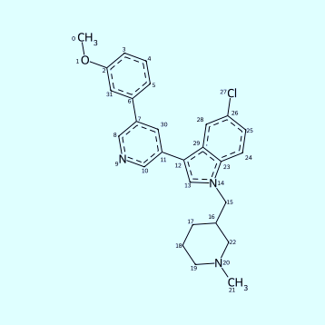 COc1cccc(-c2cncc(-c3cn(CC4CCCN(C)C4)c4ccc(Cl)cc34)c2)c1